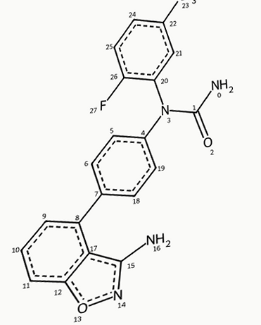 NC(=O)N(c1ccc(-c2cccc3onc(N)c23)cc1)c1cc(C(F)(F)F)ccc1F